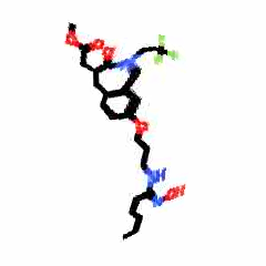 C\C=C/C=C\C(=N\O)NCCCOc1ccc2c(c1)CN(CC(F)(F)F)C(=O)[C@H](CC(=O)OC)C2